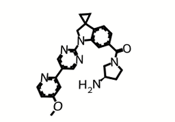 COc1ccnc(-c2cnc(N3CC4(CC4)c4ccc(C(=O)N5CC[C@@H](N)C5)cc43)nc2)c1